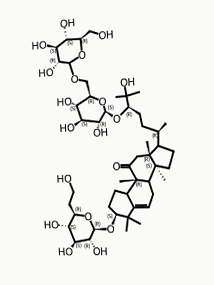 C[C@H](CC[C@@H](O[C@@H]1O[C@H](COC2O[C@H](CO)[C@@H](O)[C@H](O)[C@H]2O)[C@@H](O)[C@H](O)[C@H]1O)C(C)(C)O)C1CC[C@@]2(C)C3CC=C4C(CC[C@H](O[C@@H]5O[C@H](CCO)[C@@H](O)[C@H](O)[C@H]5O)C4(C)C)[C@]3(C)C(=O)C[C@]12C